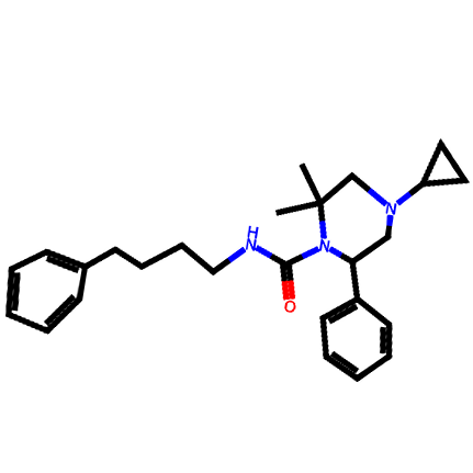 CC1(C)CN(C2CC2)CC(c2ccccc2)N1C(=O)NCCCCc1ccccc1